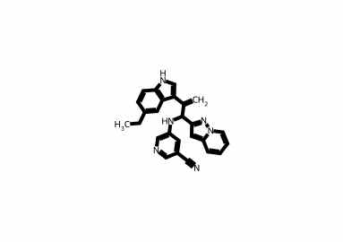 C=C(c1c[nH]c2ccc(CC)cc12)C(Nc1cncc(C#N)c1)c1cc2ccccn2n1